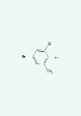 Cc1cc(Br)cc(Cl)c1Br